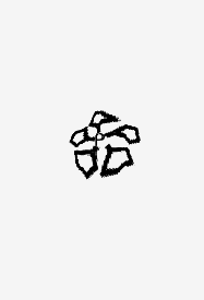 C1CCC(P(C2CCCC2)(C2CCCC2)(C2CCCC2)C2CCCC2)C1